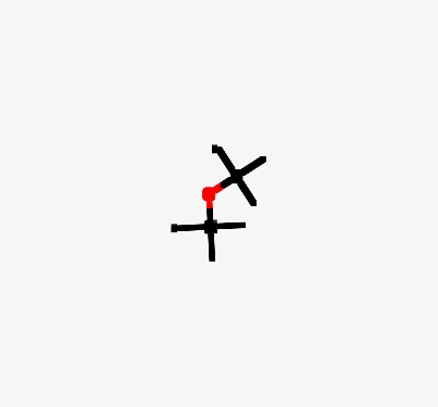 [CH][Si](C)(C)O[Si]([CH])(C)C